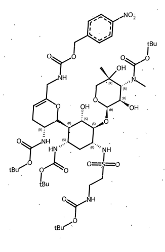 CN(C(=O)OC(C)(C)C)[C@@H]1[C@@H](O)[C@@H](O[C@@H]2[C@@H](O)[C@H](C3OC(CNC(=O)OCc4ccc([N+](=O)[O-])cc4)=CC[C@H]3NC(=O)OC(C)(C)C)[C@@H](NC(=O)OC(C)(C)C)C[C@H]2NS(=O)(=O)CCNC(=O)OC(C)(C)C)OC[C@]1(C)O